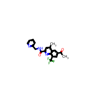 CC(=O)c1cc(C(F)(F)F)c2nc(C(=O)NCc3ccccn3)cc(C)c2c1